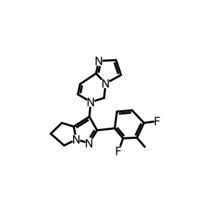 Cc1c(F)ccc(-c2nn3c(c2N2C=Cc4nccn4C2)CCC3)c1F